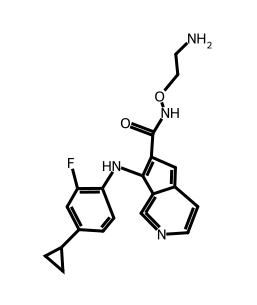 NCCONC(=O)C1=C(Nc2ccc(C3CC3)cc2F)C2=C=NC=CC2=C1